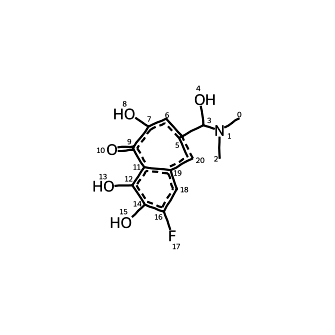 CN(C)C(O)c1cc(O)c(=O)c2c(O)c(O)c(F)cc2c1